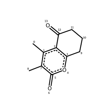 Cc1c2c(oc(=O)c1C)CCCC2=O